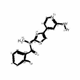 CC(C)Nc1cc(-c2csc(N(C)C(=O)c3ccccc3I)n2)ccn1